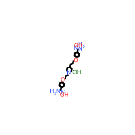 Cl.NC(=NO)c1ccc(OCCCC2CCN(CCCOc3ccc(C(N)=NO)cc3)CC2)cc1